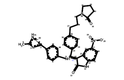 Cc1nc(-c2ccc(N/C(=C3\C(=O)Nc4ccc([N+](=O)[O-])cc43)c3ccc(CCCN4CCCC4=O)cc3)cc2)c[nH]1